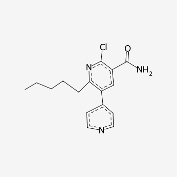 CCCCCc1nc(Cl)c(C(N)=O)cc1-c1ccncc1